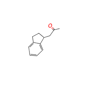 CC(=O)CC1CCc2ccccc21